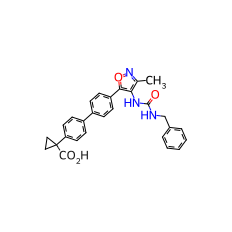 Cc1noc(-c2ccc(-c3ccc(C4(C(=O)O)CC4)cc3)cc2)c1NC(=O)NCc1ccccc1